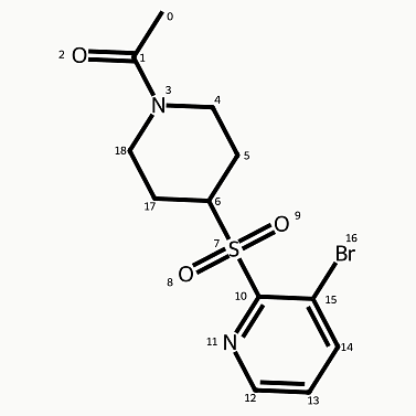 CC(=O)N1CCC(S(=O)(=O)c2ncccc2Br)CC1